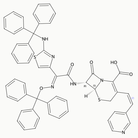 O=C(O)C1=C(/C=C\c2cccnc2)CS[C@H]2[C@H](NC(=O)C(=NOC(c3ccccc3)(c3ccccc3)c3ccccc3)c3csc(NC(c4ccccc4)(c4ccccc4)c4ccccc4)n3)C(=O)N12